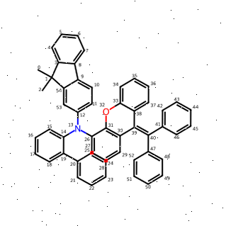 CC1(C)c2ccccc2-c2ccc(N(c3ccccc3-c3ccccc3)c3cccc4c3Oc3ccccc3C4=C(c3ccccc3)c3ccccc3)cc21